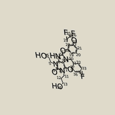 O=c1c2c(n(CCO)c(=O)n1CCCO)NC(Oc1cccc(OC(F)(F)I)c1)N2CC1C=CC(F)=CC1